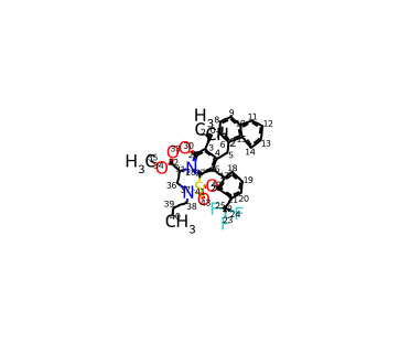 C=C(C)c1c(Cc2cccc3ccccc23)c(-c2cccc(C(F)(F)F)c2)c2n(c1=O)C(C(=O)OC)CN(CCC)S2(=O)=O